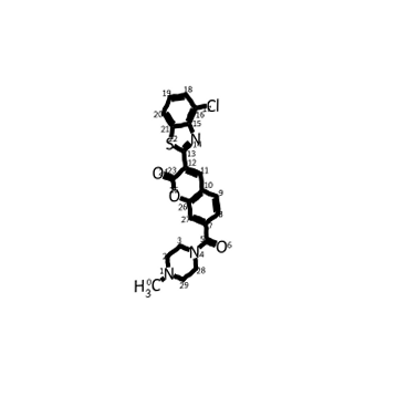 CN1CCN(C(=O)c2ccc3cc(-c4nc5c(Cl)cccc5s4)c(=O)oc3c2)CC1